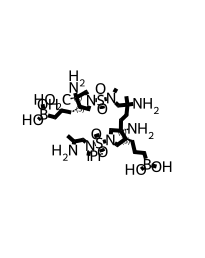 CC(N)CN(C(C)C)S(=O)(=O)N1C[C@H](CCCB(O)O)[C@](N)(CCC(C)(N)CN(C)S(=O)(=O)N2C[C@H](CCCB(O)O)[C@](N)(C(=O)O)C2)C1